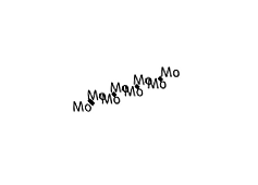 [Mo][Mo][Mo][Mo][Mo][Mo][Mo]=[Mo]